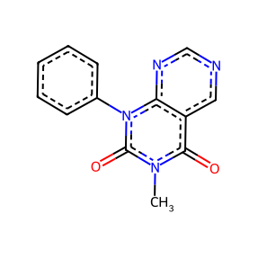 Cn1c(=O)c2cncnc2n(-c2ccccc2)c1=O